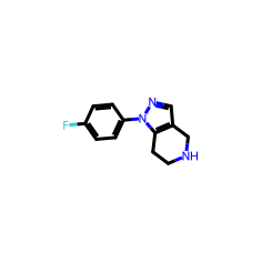 Fc1ccc(-n2ncc3c2CCNC3)cc1